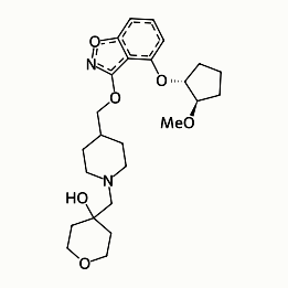 CO[C@@H]1CCC[C@H]1Oc1cccc2onc(OCC3CCN(CC4(O)CCOCC4)CC3)c12